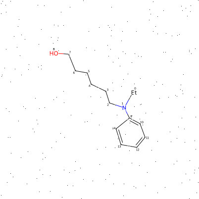 CCN(CCCCCCO)c1ccccc1